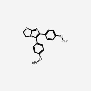 CCCOc1ccc(-c2nc3n(c2-c2ccc(OCCC)cc2)CCS3)cc1